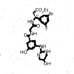 CCOC(=O)C[C@H](NC(=O)CNC(=O)c1cc(O)cc(NC2=NCC(O)CN2)c1)c1cc(F)cc(Br)c1